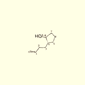 C=CCCC1CCCC1O